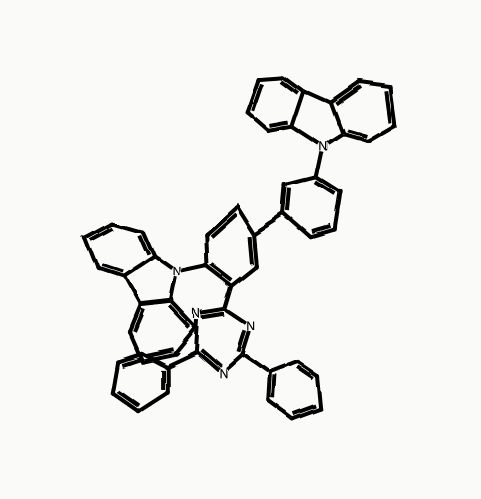 c1ccc(-c2nc(-c3ccccc3)nc(-c3cc(-c4cccc(-n5c6ccccc6c6ccccc65)c4)ccc3-n3c4ccccc4c4ccccc43)n2)cc1